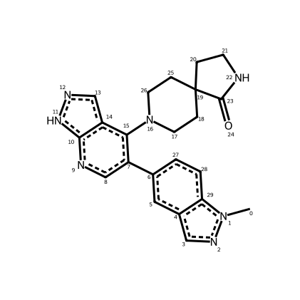 Cn1ncc2cc(-c3cnc4[nH]ncc4c3N3CCC4(CCNC4=O)CC3)ccc21